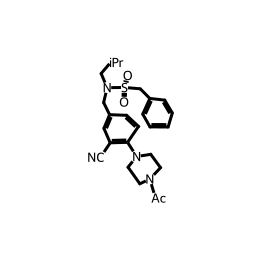 CC(=O)N1CCN(c2ccc(CN(CC(C)C)S(=O)(=O)Cc3ccccc3)cc2C#N)CC1